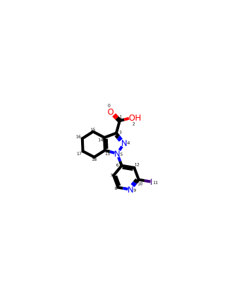 O=C(O)c1nn(-c2ccnc(I)c2)c2c1CCCC2